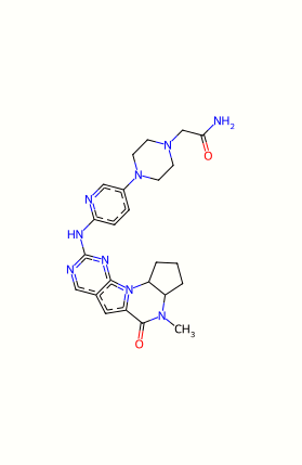 CN1C(=O)c2cc3cnc(Nc4ccc(N5CCN(CC(N)=O)CC5)cn4)nc3n2C2CCCC21